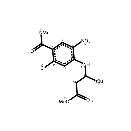 CNC(=O)c1cc([N+](=O)[O-])c(NC(CC(=O)OC)C(C)(C)C)cc1Cl